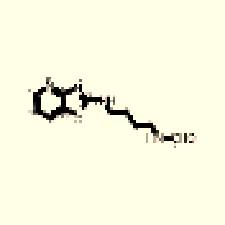 O=CNCCCCNc1nc2ncccc2o1